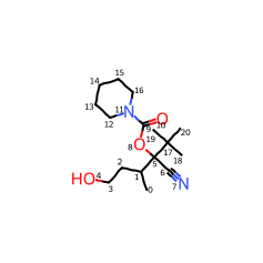 CC(CCO)C(C#N)(OC(=O)N1CCCCC1)C(C)(C)C